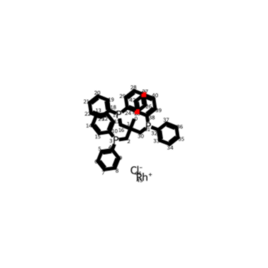 CC(CP(c1ccccc1)c1ccccc1)(CP(c1ccccc1)c1ccccc1)CP(c1ccccc1)c1ccccc1.[Cl-].[Rh+]